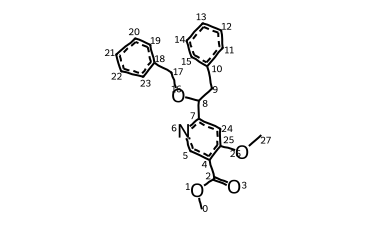 COC(=O)c1cnc(C(Cc2ccccc2)OCc2ccccc2)cc1OC